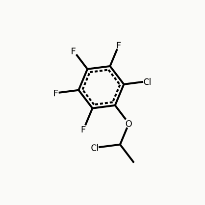 CC(Cl)Oc1c(F)c(F)c(F)c(F)c1Cl